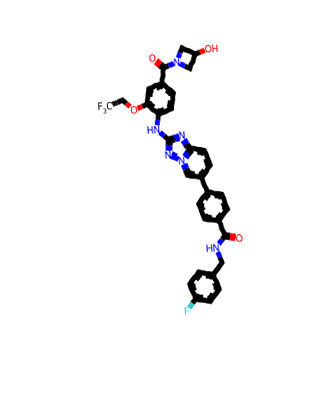 O=C(NCc1ccc(F)cc1)c1ccc(-c2ccc3nc(Nc4ccc(C(=O)N5CC(O)C5)cc4OCC(F)(F)F)nn3c2)cc1